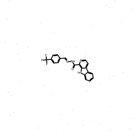 O=C(NN=Cc1ccc(C(F)(F)F)cc1)c1nccc2c1[nH]c1ccccc12